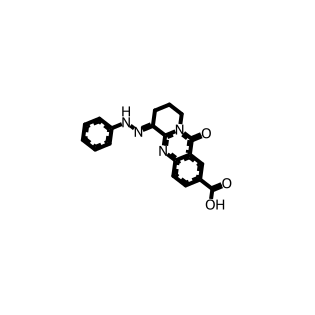 O=C(O)c1ccc2nc3n(c(=O)c2c1)CCCC3=NNc1ccccc1